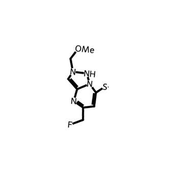 COCN1C=C2N=C(CF)C=C([S])N2N1